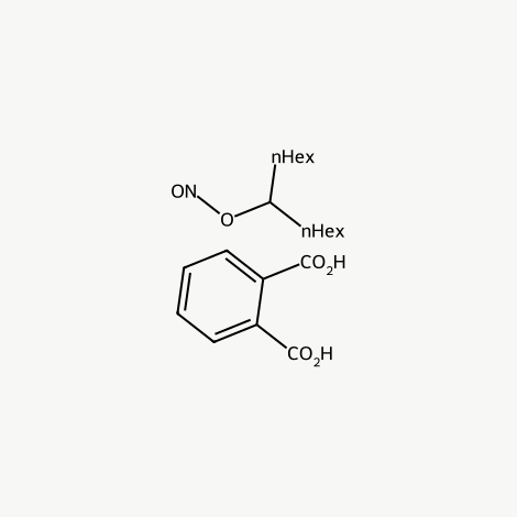 CCCCCCC(CCCCCC)ON=O.O=C(O)c1ccccc1C(=O)O